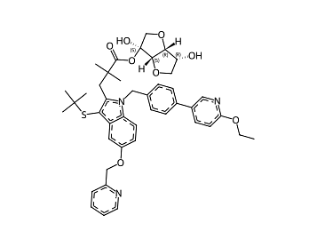 CCOc1ccc(-c2ccc(Cn3c(CC(C)(C)C(=O)O[C@@]4(O)CO[C@@H]5[C@H](O)CO[C@@H]54)c(SC(C)(C)C)c4cc(OCc5ccccn5)ccc43)cc2)cn1